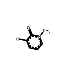 Cn1cc[c]c(Cl)c1=O